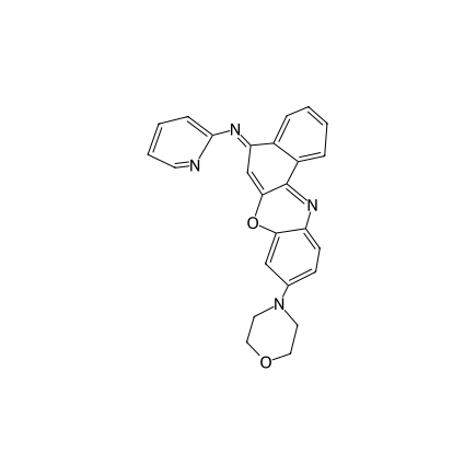 c1ccc(N=c2cc3oc4cc(N5CCOCC5)ccc4nc-3c3ccccc23)nc1